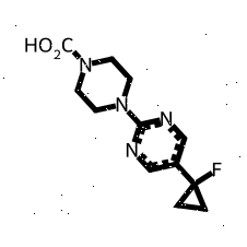 O=C(O)N1CCN(c2ncc(C3(F)CC3)cn2)CC1